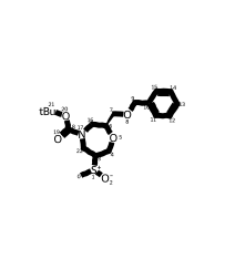 C[S+]([O-])C1CO[C@H](COCc2ccccc2)CN(C(=O)OC(C)(C)C)C1